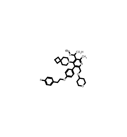 Cc1nc(COC2CCOCC2)c(-c2ccc(OCCc3ccc(F)cc3)cc2)c(N2CCC3(CCC3)CC2)c1C(OC(C)(C)C)C(=O)O